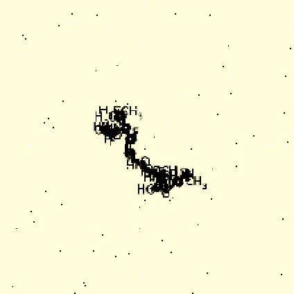 Cc1ncsc1-c1ccc(CNC(=O)[C@@H]2C[C@@H](O)CN2C(=O)[C@@H](NC(=O)COCC(=O)NCCN2CCN(Cc3ccc(F)c(-c4ccc(N5C[C@@H](C)N(C)[C@@H](C)C5)c(NC(=O)c5c[nH]c(=O)cc5C(F)(F)F)c4)c3)CC2)C(C)(C)C)cc1